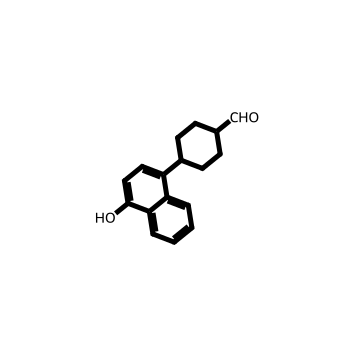 O=CC1CCC(c2ccc(O)c3ccccc23)CC1